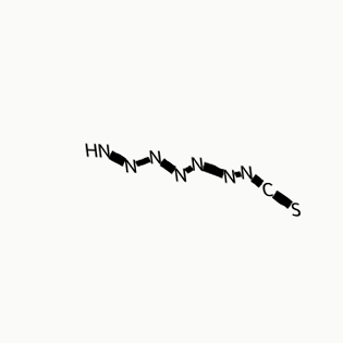 N=N/N=N/N=N/N=C=S